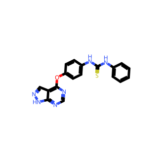 S=C(Nc1ccccc1)Nc1ccc(Oc2ncnc3[nH]ncc23)cc1